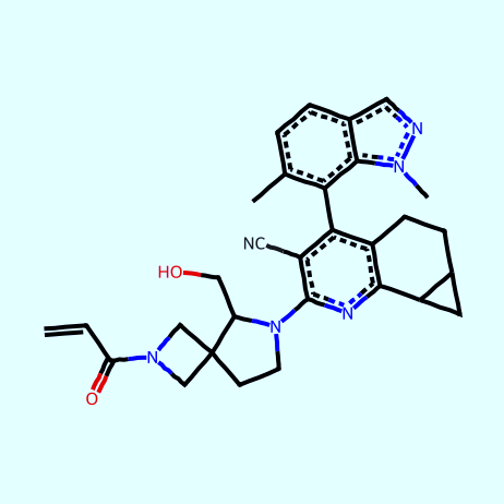 C=CC(=O)N1CC2(CCN(c3nc4c(c(-c5c(C)ccc6cnn(C)c56)c3C#N)CCC3CC43)C2CO)C1